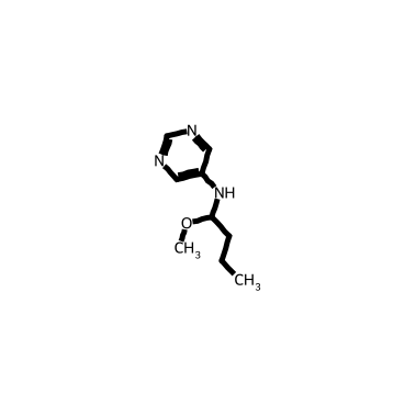 CCCC(Nc1cncnc1)OC